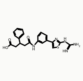 N=C(N)Nc1nc(-c2cccc(NC(=O)CC(CC(=O)O)c3ccccc3)c2)cs1